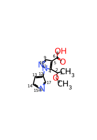 COC(C)c1c(C(=O)O)cnn1-c1cccnc1